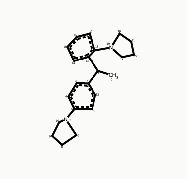 CC(c1ccc(N2CCCC2)cc1)c1ccccc1N1CCCC1